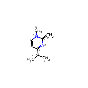 C=C1N=C(C(C)C)C=CN1C